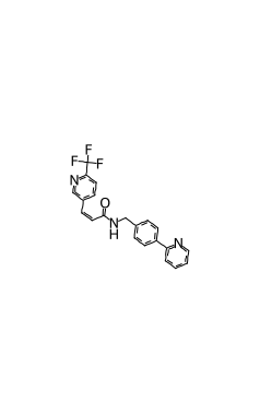 O=C(/C=C\c1ccc(C(F)(F)F)nc1)NCc1ccc(-c2ccccn2)cc1